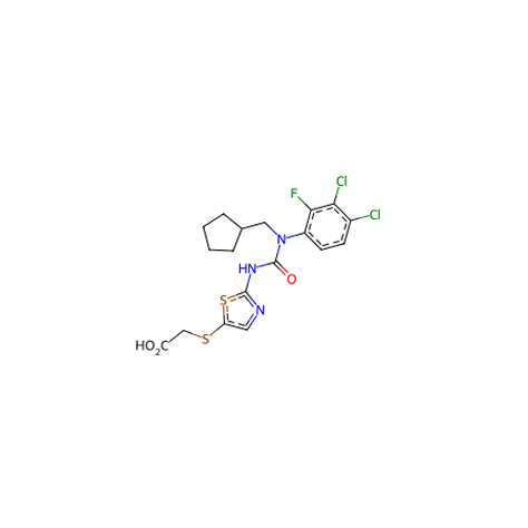 O=C(O)CSc1cnc(NC(=O)N(CC2CCCC2)c2ccc(Cl)c(Cl)c2F)s1